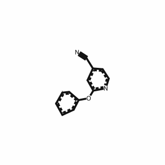 N#Cc1ccnc(Oc2c[c]ccc2)c1